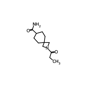 CCC(=O)N1CC2(CCC(C(N)=O)CC2)C1